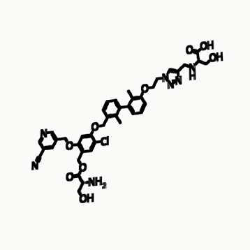 Cc1c(COc2cc(OCc3cncc(C#N)c3)c(COC(=O)[C@@H](N)CO)cc2Cl)cccc1-c1cccc(OCCn2cc(CNC(CO)C(=O)O)nn2)c1C